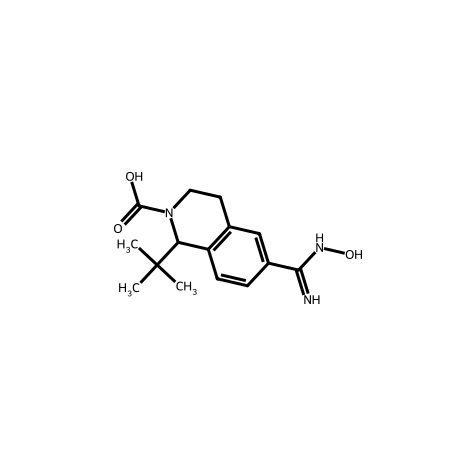 CC(C)(C)C1c2ccc(C(=N)NO)cc2CCN1C(=O)O